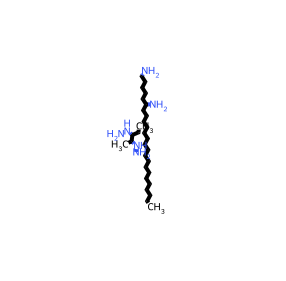 CCC(NN)C(C)NN.CCCCCCCCCCCCCCCCCCC(N)CCCCCN